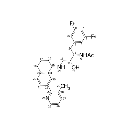 CC(=O)N[C@@H](Cc1cc(F)cc(F)c1)[C@H](O)CNC1CCCc2ccc(-c3ncccc3C)cc21